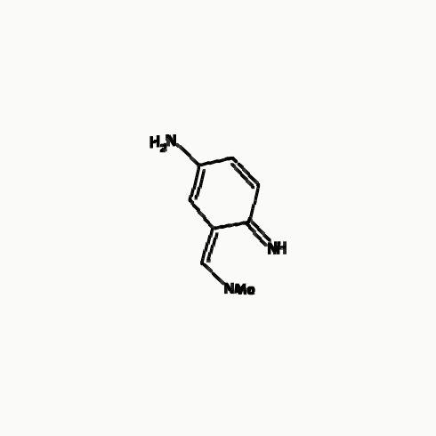 CN/C=C1/C=C(N)C=CC1=N